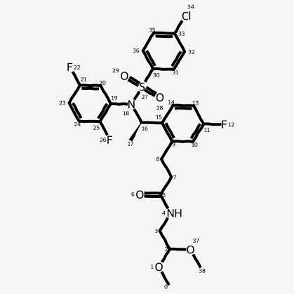 COC(CNC(=O)CCc1cc(F)ccc1[C@@H](C)N(c1cc(F)ccc1F)S(=O)(=O)c1ccc(Cl)cc1)OC